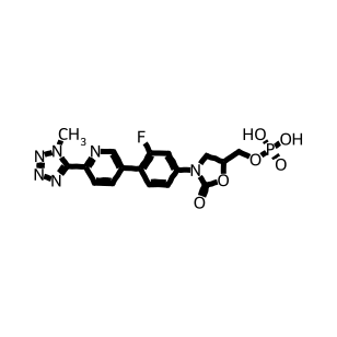 Cn1nnnc1-c1ccc(-c2ccc(N3CC(COP(=O)(O)O)OC3=O)cc2F)cn1